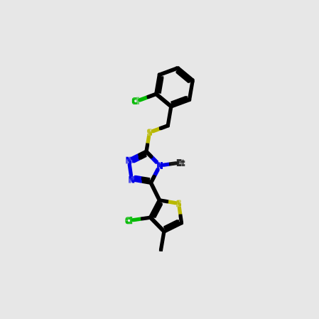 CCn1c(SCc2ccccc2Cl)nnc1-c1scc(C)c1Cl